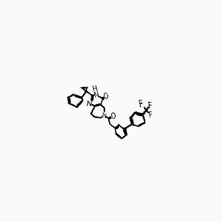 O=C(Cc1cccc(-c2ccc(C(F)(F)F)cc2)c1)N1CCCc2nc(C3(c4ccccc4)CC3)[nH]c(=O)c2C1